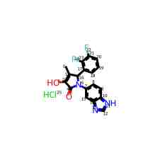 CC1=C(O)C(=O)N(c2ccc3[nH]cnc3c2)C1c1cccc(F)c1F.Cl